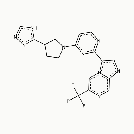 FC(F)(F)c1cn2c(-c3nccc(N4CCC(c5nnc[nH]5)C4)n3)cnc2cn1